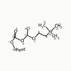 CCCCCOC(=O)OC(Cl)OCC[N+](C)(C)C